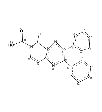 CC1c2nc(-c3ccccc3)c(-c3ccccc3)nc2C=CN1C(=O)O